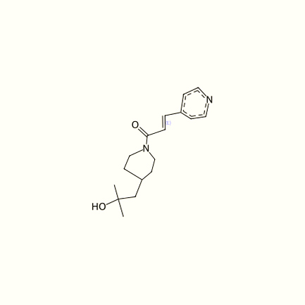 CC(C)(O)CC1CCN(C(=O)/C=C/c2ccncc2)CC1